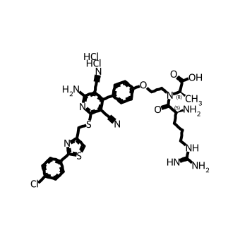 C[C@H](C(=O)O)N(CCOc1ccc(-c2c(C#N)c(N)nc(SCc3csc(-c4ccc(Cl)cc4)n3)c2C#N)cc1)C(=O)[C@@H](N)CCCNC(=N)N.Cl.Cl